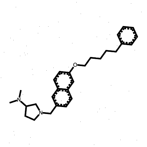 CN(C)C1CCN(Cc2ccc3cc(OCCCCCc4ccccc4)ccc3c2)C1